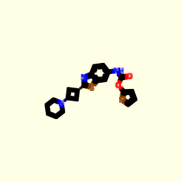 O=C(Nc1ccc2nc([C@H]3C[C@@H](N4CCCCC4)C3)sc2c1)Oc1cccs1